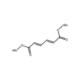 CCCCOC(=O)C=CC=CC(=O)OCCCC